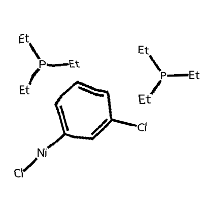 CCP(CC)CC.CCP(CC)CC.[Cl][Ni][c]1cccc(Cl)c1